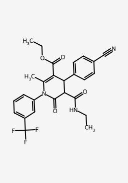 CCNC(=O)C1C(=O)N(c2cccc(C(F)(F)F)c2)C(C)=C(C(=O)OCC)C1c1ccc(C#N)cc1